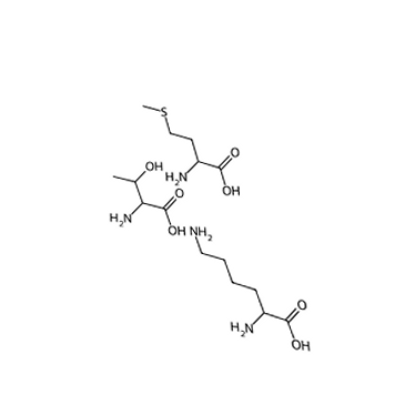 CC(O)C(N)C(=O)O.CSCCC(N)C(=O)O.NCCCCC(N)C(=O)O